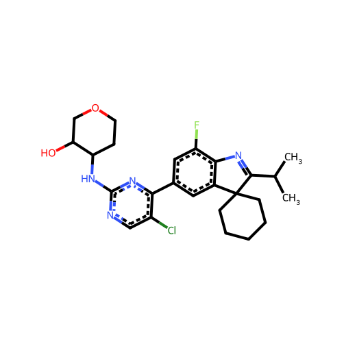 CC(C)C1=Nc2c(F)cc(-c3nc(NC4CCOCC4O)ncc3Cl)cc2C12CCCCC2